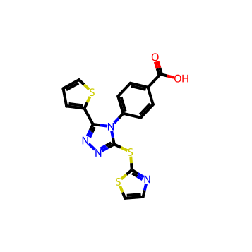 O=C(O)c1ccc(-n2c(Sc3nccs3)nnc2-c2cccs2)cc1